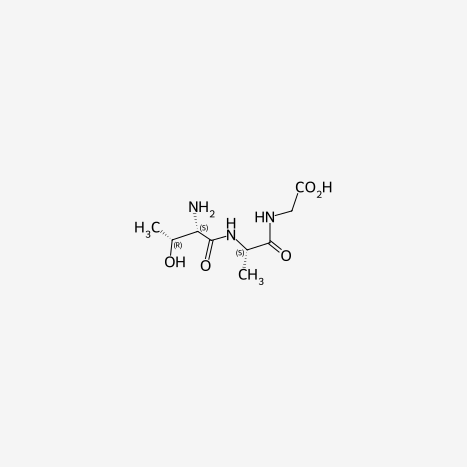 C[C@H](NC(=O)[C@@H](N)[C@@H](C)O)C(=O)NCC(=O)O